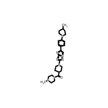 CC1CCN(c2ccc(-c3cn4nc(N5CCC(C(=O)N6CCN(C)CC6)CC5)sc4n3)cc2)CC1